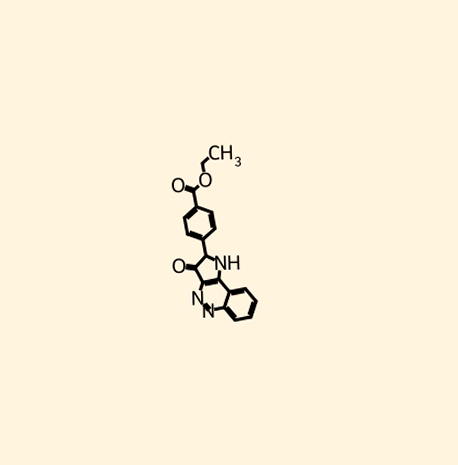 CCOC(=O)c1ccc(C2Nc3c(nnc4ccccc34)C2=O)cc1